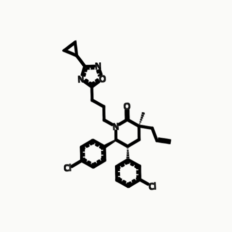 C=CC[C@@]1(C)C[C@H](c2cccc(Cl)c2)[C@@H](c2ccc(Cl)cc2)N(CCCc2nc(C3CC3)no2)C1=O